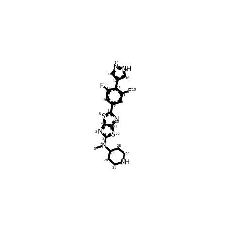 CN(c1nc2sc(-c3cc(F)c(-c4cn[nH]c4)c(F)c3)nc2s1)C1CCNCC1